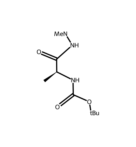 CNNC(=O)[C@H](C)NC(=O)OC(C)(C)C